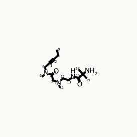 CCC#CCN(C)C(=O)CN(C)CCNC(=O)C(C)(C)N